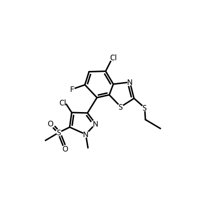 CCSc1nc2c(Cl)cc(F)c(-c3nn(C)c(S(C)(=O)=O)c3Cl)c2s1